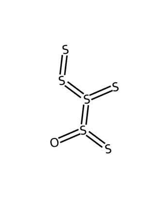 O=S(=S)=S(=S)=S=S